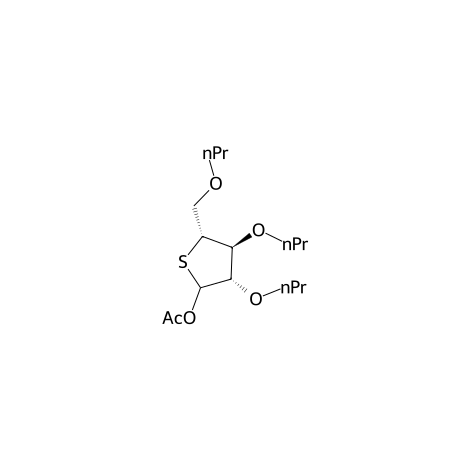 CCCOC[C@H]1SC(OC(C)=O)[C@@H](OCCC)[C@@H]1OCCC